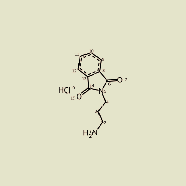 Cl.NCCCN1C(=O)c2ccccc2C1=O